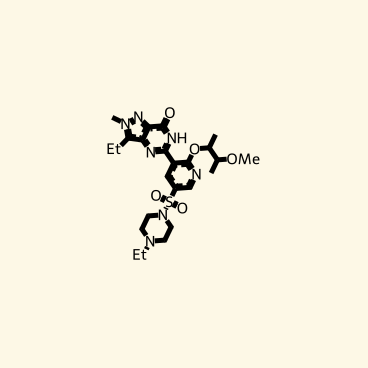 CCc1c2nc(-c3cc(S(=O)(=O)N4CCN(CC)CC4)cnc3OC(C)C(C)OC)[nH]c(=O)c2nn1C